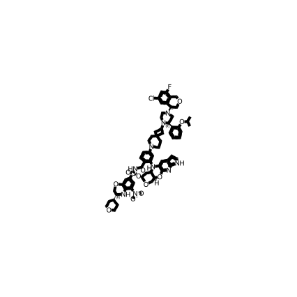 CC(C)Oc1ccccc1[C@@H]1CN([C@@H]2COCc3c(F)cc(Cl)cc32)CCN1C1CC2(CCN(c3ccc(C(=O)NS(=O)(=O)c4cc5c(c([N+](=O)[O-])c4)N[C@H](C4CCOCC4)CO5)c(N4c5cc6cc[nH]c6nc5O[C@H]5COCC[C@@H]54)c3)CC2)C1